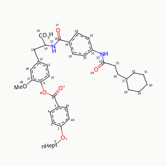 CCCCCCCOc1ccc(C(=O)Oc2ccc(CC(NC(=O)c3ccc(NC(=O)CCC4CCCCC4)cc3)C(=O)O)cc2OC)cc1